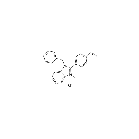 C=Cc1ccc(-c2n(Cc3ccccc3)c3ccccc3[n+]2C)cc1.[Cl-]